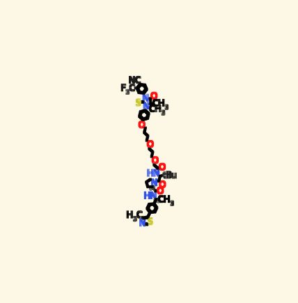 Cc1ncsc1-c1ccc([C@H](C)NC(=O)[C@@H]2CCCN2C(=O)C(NC(=O)COCCCOCCCCOc2ccc(N3C(=S)N(c4ccc(C#N)c(C(F)(F)F)c4)C(=O)C3(C)C)cc2)C(C)(C)C)cc1